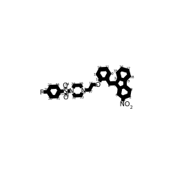 O=[N+]([O-])c1ccc2c(c1)/C(=C/c1ccccc1OCCN1CCN(S(=O)(=O)c3ccc(F)cc3)CC1)c1ccccc1-2